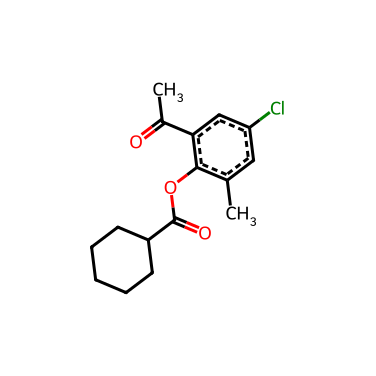 CC(=O)c1cc(Cl)cc(C)c1OC(=O)C1CCCCC1